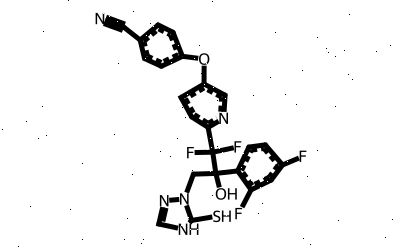 N#Cc1ccc(Oc2ccc(C(F)(F)C(O)(CN3N=CNC3S)c3ccc(F)cc3F)nc2)cc1